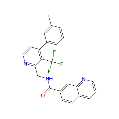 Cc1cccc(-c2ccnc(CNC(=O)c3ccc4cccnc4c3)c2C(F)(F)F)c1